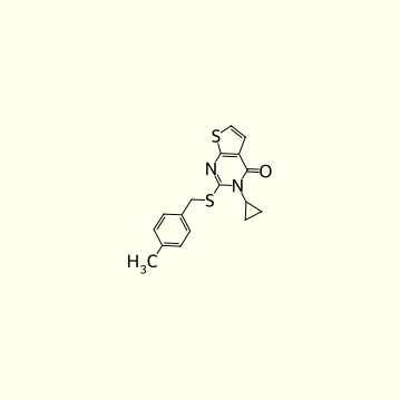 Cc1ccc(CSc2nc3sccc3c(=O)n2C2CC2)cc1